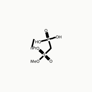 CCCC.COS(=O)(=O)CP(=O)(O)O